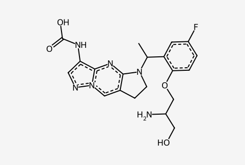 CC(c1cc(F)ccc1OCC(N)CO)N1CCc2cn3ncc(NC(=O)O)c3nc21